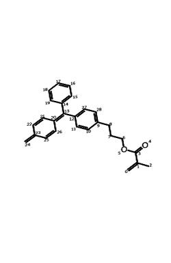 C=C(C)C(=O)OCCCc1ccc(C(c2ccccc2)=c2ccc(=C)cc2)cc1